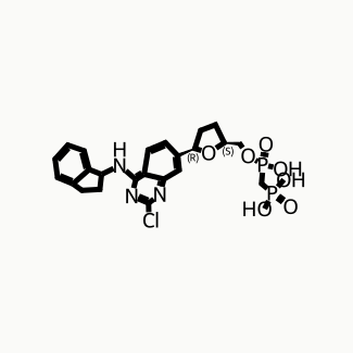 O=P(O)(O)CP(=O)(O)OC[C@@H]1CC[C@H](c2ccc3c(NC4CCc5ccccc54)nc(Cl)nc3c2)O1